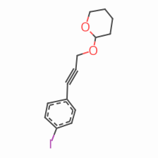 Ic1ccc(C#CCOC2CCCCO2)cc1